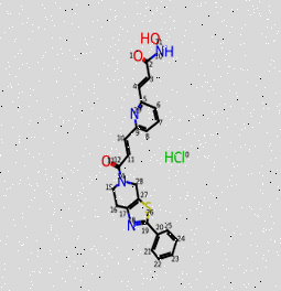 Cl.O=C(/C=C/c1cccc(/C=C/C(=O)N2CCc3nc(-c4ccccc4)sc3C2)n1)NO